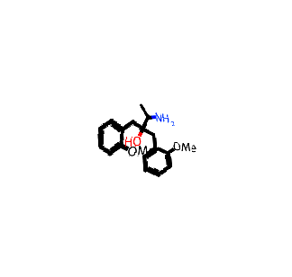 COc1ccccc1CC(O)(Cc1ccccc1OC)C(C)N